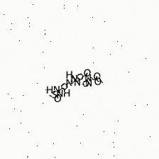 CCOC(=O)CCN(C(=O)c1ccc2c(c1)nc(CNc1ccc(C(=N)NC(=O)SCC)cc1)n2C)c1ccccn1